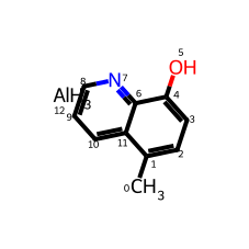 Cc1ccc(O)c2ncccc12.[AlH3]